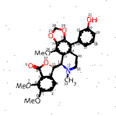 COc1ccc2c(c1OC)C(=O)O[C@@H]2[C@H]1c2c(c(-c3cccc(O)c3)c3c(c2OC)OCO3)CCN1C